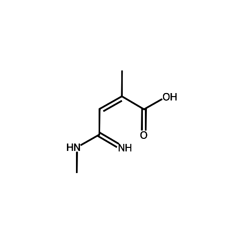 CNC(=N)C=C(C)C(=O)O